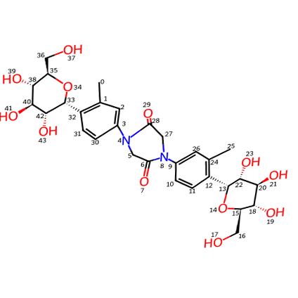 Cc1cc(N2CC(=O)N(c3ccc([C@H]4O[C@H](CO)[C@@H](O)[C@H](O)[C@H]4O)c(C)c3)CC2=O)ccc1[C@H]1O[C@H](CO)[C@@H](O)[C@H](O)[C@H]1O